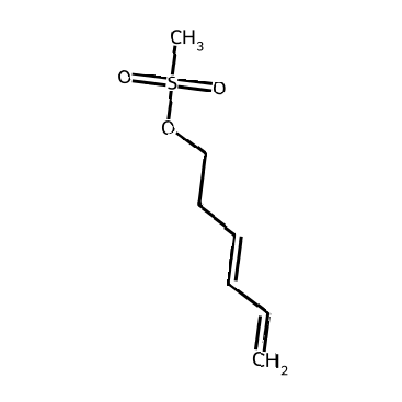 C=C/C=C/CCOS(C)(=O)=O